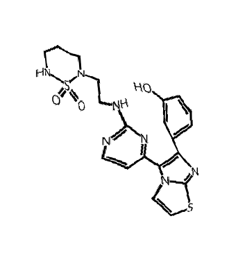 O=S1(=O)NCCCN1CCNc1nccc(-c2c(-c3cccc(O)c3)nc3sccn23)n1